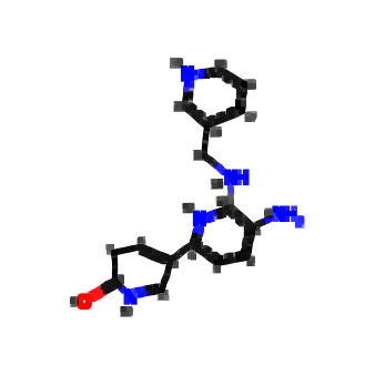 Nc1ccc(C2=CCC(=O)N=C2)nc1NCc1cccnc1